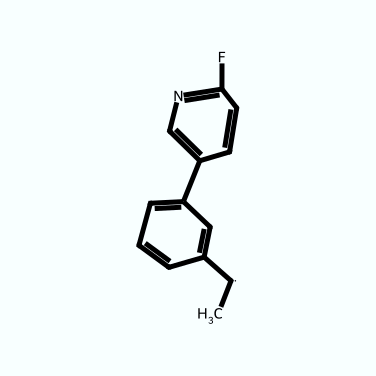 C[CH]c1cccc(-c2ccc(F)nc2)c1